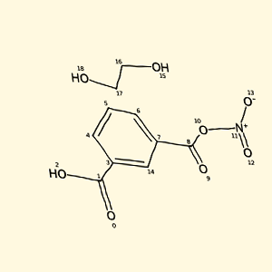 O=C(O)c1cccc(C(=O)O[N+](=O)[O-])c1.OCCO